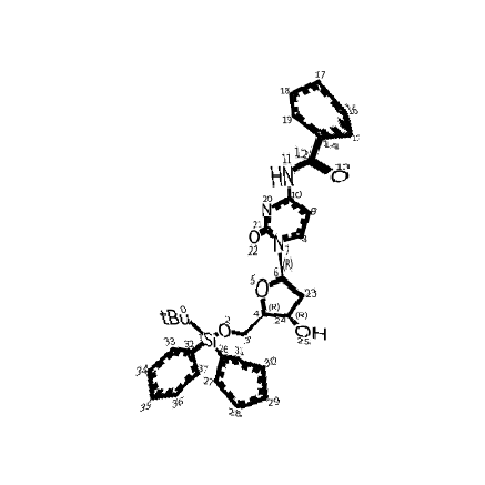 CC(C)(C)[Si](OC[C@H]1O[C@@H](n2ccc(NC(=O)c3ccccc3)nc2=O)C[C@H]1O)(c1ccccc1)c1ccccc1